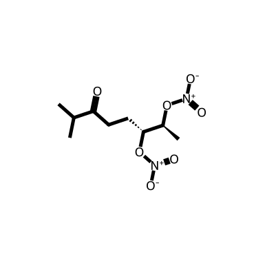 CC(C)C(=O)CC[C@@H](O[N+](=O)[O-])[C@H](C)O[N+](=O)[O-]